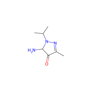 CC1=NN(C(C)C)C(N)C1=O